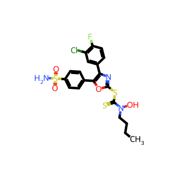 CCCCN(O)C(=S)Sc1nc(-c2ccc(F)c(Cl)c2)c(-c2ccc(S(N)(=O)=O)cc2)o1